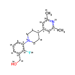 Cc1cc(C2CCN(c3cccc(CO)c3F)CC2)cc(C)n1